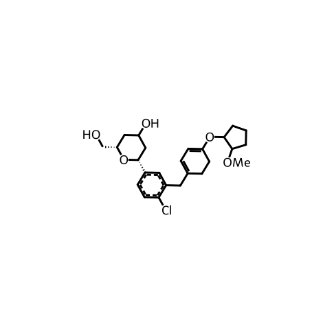 COC1CCCC1OC1=CC=C(Cc2cc([C@H]3CC(O)C[C@@H](CO)O3)ccc2Cl)CC1